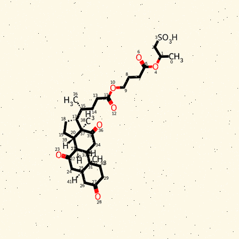 CC(CS(=O)(=O)O)OC(=O)CCCOC(=O)CC[C@@H](C)[C@H]1CC[C@H]2[C@@H]3C(=O)C[C@@H]4CC(=O)CC[C@]4(C)[C@H]3CC(=O)[C@]12C